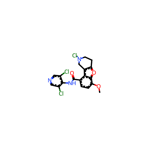 COc1ccc(C(=O)Nc2c(Cl)cncc2Cl)c2c3c(oc12)CCN(Cl)C3